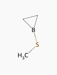 CSB1CC1